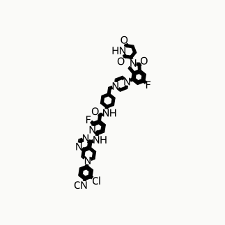 N#Cc1ccc(N2CCc3c(ncnc3Nc3ccc(C(=O)NC4CCC(CN5CCN(c6cc(F)cc7c6CN(C6CCC(=O)NC6=O)C7=O)CC5)CC4)c(F)n3)C2)cc1Cl